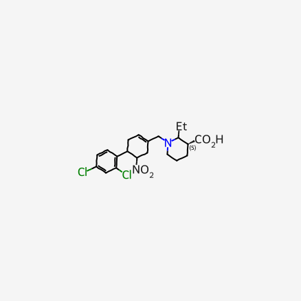 CCC1[C@@H](C(=O)O)CCCN1CC1=CCC(c2ccc(Cl)cc2Cl)C([N+](=O)[O-])C1